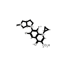 CN1CC2CCN(c3c(F)cc4c(=O)c(C(=O)O)cn(C5CC5)c4c3F)C2C1